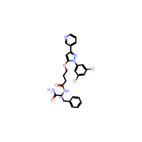 NC(=O)[C@H](Cc1ccccc1)NC(=O)CCCOc1cc(-c2cccnc2)nn1-c1cc(Cl)cc(Cl)c1